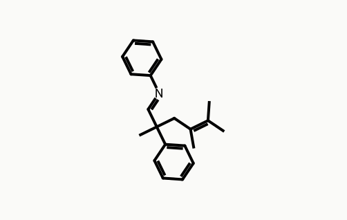 CC(C)=C(C)CC(C)(C=Nc1ccccc1)c1ccccc1